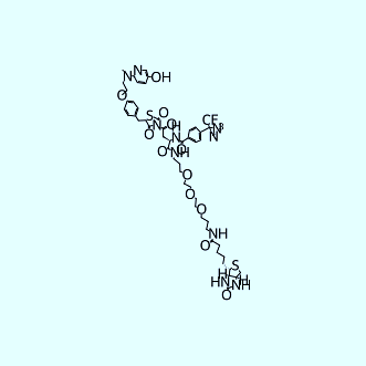 CN(CCOc1ccc(CC2SC(=O)N(C(=O)C[C@@H](NC(=O)c3ccc(C4(C(F)(F)F)N=N4)cc3)C(=O)NCCCOCCOCCOCCCNC(=O)CCCC[C@@H]3SC[C@@H]4NC(=O)N[C@@H]43)C2=O)cc1)c1ccc(O)cn1